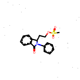 CS(=O)(=O)OCCC1c2ccccc2C(=O)N1c1ccccc1